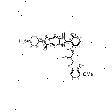 COc1cccc(OCC(O)CNc2cc[nH]c(=O)c2-c2nc3cc4c(cc3[nH]2)CN(C2CCN(C)CC2)C4=O)c1C